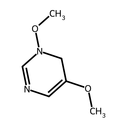 COC1=CN=CN(OC)C1